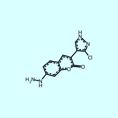 NNc1ccc2cc(-c3c[nH]nc3Cl)c(=O)oc2c1